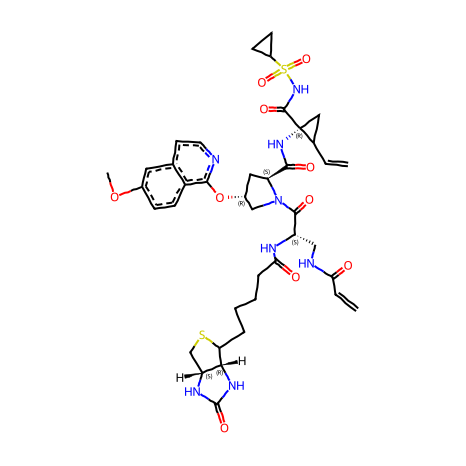 C=CC(=O)NC[C@H](NC(=O)CCCCC1SC[C@H]2NC(=O)N[C@@H]12)C(=O)N1C[C@H](Oc2nccc3cc(OC)ccc23)C[C@H]1C(=O)N[C@]1(C(=O)NS(=O)(=O)C2CC2)CC1C=C